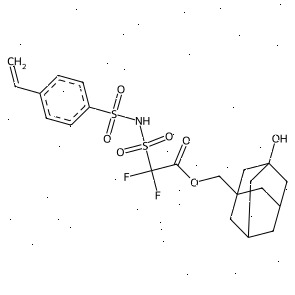 C=Cc1ccc(S(=O)(=O)NS(=O)(=O)C(F)(F)C(=O)OCC23CC4CC(CC(O)(C4)C2)C3)cc1